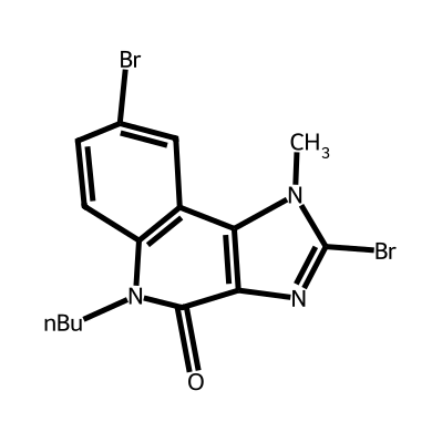 CCCCn1c(=O)c2nc(Br)n(C)c2c2cc(Br)ccc21